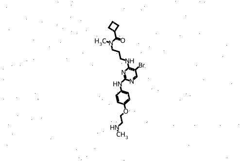 CNCCOc1ccc(Nc2ncc(Br)c(NCCCN(C)C(=O)C3CCC3)n2)cc1